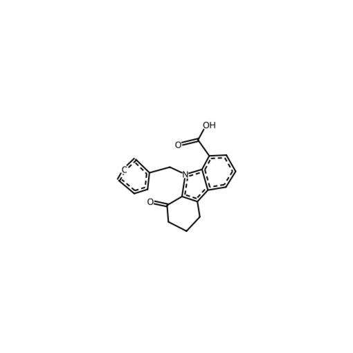 O=C(O)c1cccc2c3c(n(Cc4ccccc4)c12)C(=O)CCC3